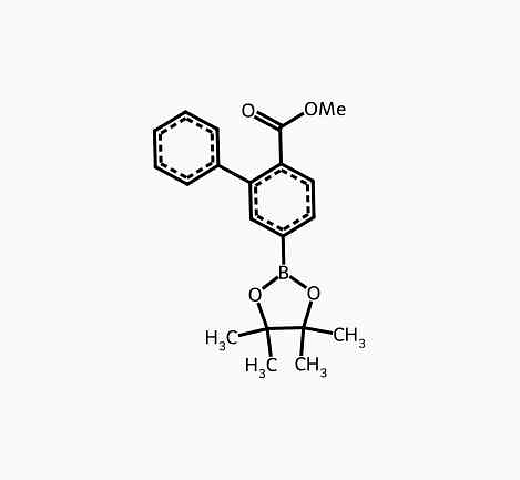 COC(=O)c1ccc(B2OC(C)(C)C(C)(C)O2)cc1-c1ccccc1